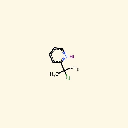 CC(C)(Cl)c1ccccn1.I